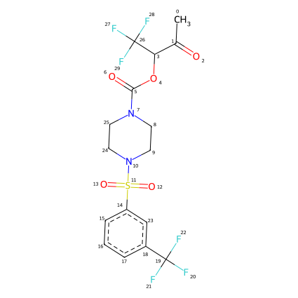 CC(=O)C(OC(=O)N1CCN(S(=O)(=O)c2cccc(C(F)(F)F)c2)CC1)C(F)(F)F